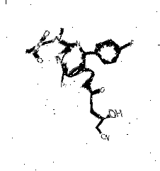 CC(C)c1nc(N(C)S(C)(=O)=O)nc(-c2ccc(F)cc2)c1/C=C/C(=O)C[C@@H](O)CC#N